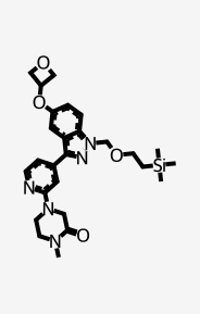 CN1CCN(c2cc(-c3nn(COCC[Si](C)(C)C)c4ccc(OC5COC5)cc34)ccn2)CC1=O